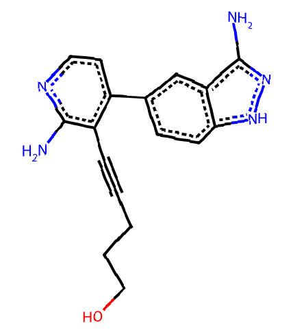 Nc1nccc(-c2ccc3[nH]nc(N)c3c2)c1C#CCCCO